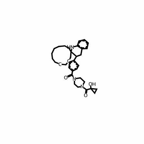 O=C(c1ccc(C2Cc3ccccc3NC23CCCCCCCCCCC3)cc1)N1CCN(C(=O)C2(O)CC2)CC1